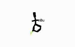 C#CC(C)(CCCC)c1cccc(F)c1